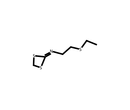 CCSCCN=C1SCS1